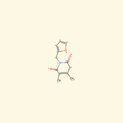 CC1=C(C#N)C(=O)N(Cc2ccco2)C(=O)C1